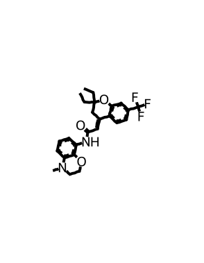 CCC1(CC)CC(=CC(=O)Nc2cccc3c2OCCN3C)c2ccc(C(F)(F)F)cc2O1